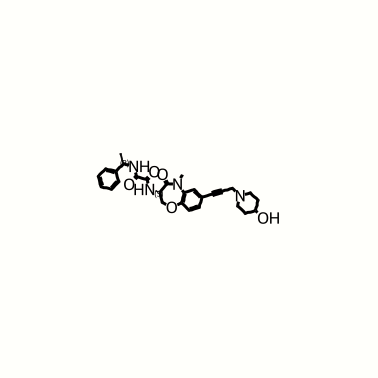 C[C@@H](NC(=O)C(=O)N[C@H]1COc2ccc(C#CCN3CCC(O)CC3)cc2N(C)C1=O)c1ccccc1